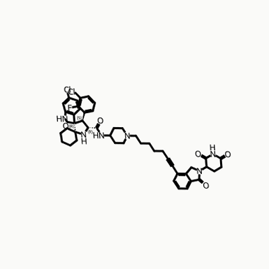 O=C1CCC(N2Cc3c(C#CCCCCCN4CCC(NC(=O)[C@@H]5NC6(CCCCC6)[C@@]6(C(=O)Nc7cc(Cl)ccc76)[C@H]5c5cccc(Cl)c5F)CC4)cccc3C2=O)C(=O)N1